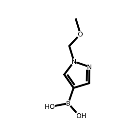 COCn1cc(B(O)O)cn1